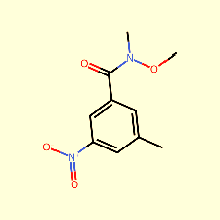 CON(C)C(=O)c1cc(C)cc([N+](=O)[O-])c1